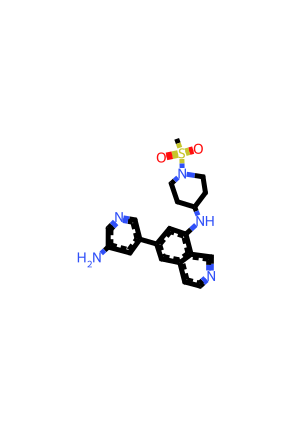 CS(=O)(=O)N1CCC(Nc2cc(-c3cncc(N)c3)cc3ccncc23)CC1